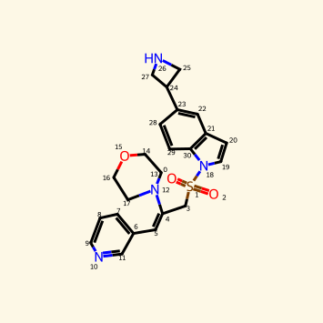 O=S(=O)(CC(=Cc1cccnc1)N1CCOCC1)n1ccc2cc(C3CNC3)ccc21